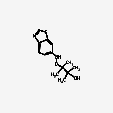 CC(C)(O)C(C)(C)OBc1ccc2ncsc2c1